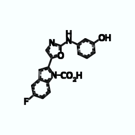 O=C(O)n1c(-c2cnc(Nc3cccc(O)c3)o2)cc2cc(F)ccc21